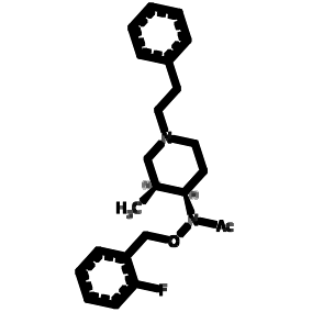 CC(=O)N(OCc1ccccc1F)[C@@H]1CCN(CCc2ccccc2)C[C@@H]1C